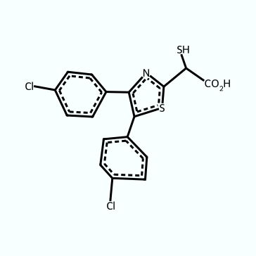 O=C(O)C(S)c1nc(-c2ccc(Cl)cc2)c(-c2ccc(Cl)cc2)s1